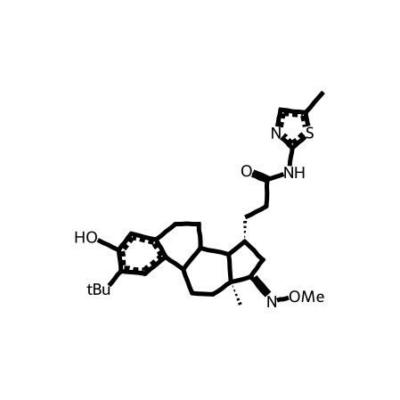 CO/N=C1\C[C@@H](CCC(=O)Nc2ncc(C)s2)C2C3CCc4cc(O)c(C(C)(C)C)cc4C3CC[C@]12C